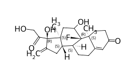 C=C1C[C@H]2[C@@H]3CCC4=CC(=O)CC[C@]4(C)[C@@]3(F)C(O)C[C@]2(C)[C@@]1(O)C(=O)CO